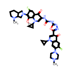 COc1c(N2CC3CCCN(C)C3C2)c(F)cc2c(=O)c(NC(=O)Nc3nnc(-c4cn(C5CC5)c5cc(N6CCN(C)CC6)c(F)cc5c4=O)o3)cn(C3CC3)c12